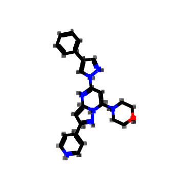 c1ccc(-c2cnn(-c3cc(N4CCOCC4)n4nc(-c5ccncc5)cc4n3)c2)cc1